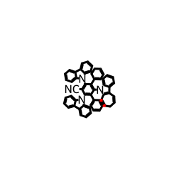 N#Cc1c(-n2c3ccccc3c3ccccc32)c(C2=CC=CCC2)c(-n2c3c(c4ccccc42)C=CCC#C3)c(-c2ccccc2)c1-n1c2ccccc2c2ccccc21